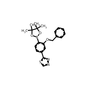 CC1(C)OB(c2ccc(-c3nncs3)cc2OCc2ccccc2)OC1(C)C